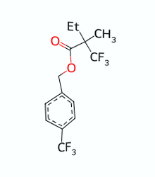 CCC(C)(C(=O)OCc1ccc(C(F)(F)F)cc1)C(F)(F)F